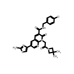 CC1(C)CN(C(=O)Cn2c(=O)c(C(=O)NCc3ccc(Cl)cc3)cc3cc(-c4csc(N)n4)cnc32)C1